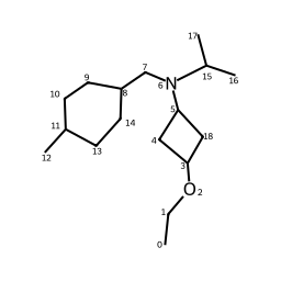 CCOC1CC(N(CC2CCC(C)CC2)C(C)C)C1